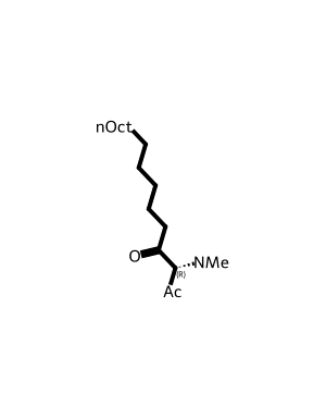 CCCCCCCCCCCCCC(=O)[C@H](NC)C(C)=O